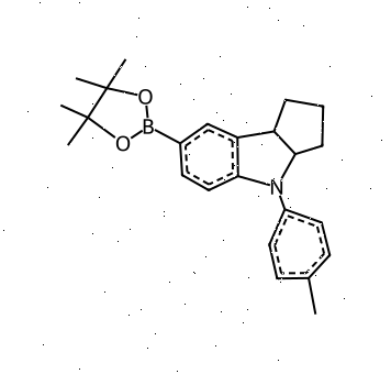 Cc1ccc(N2c3ccc(B4OC(C)(C)C(C)(C)O4)cc3C3CCCC32)cc1